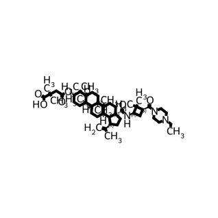 C=C(C)[C@@H]1CC[C@]2(C(=O)N[C@@H]3C[C@H](C(=O)N4CCN(CC)CC4)C3(C)C)CC[C@]3(C)[C@H](CC[C@@H]4[C@@]5(C)CC[C@H](OC(=O)CC(C)(C)C(=O)O)C(C)(C)[C@@H]5CC[C@]43C)C12